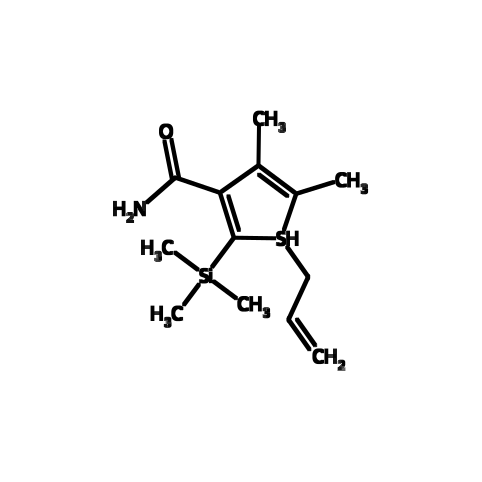 C=CC[SH]1C(C)=C(C)C(C(N)=O)=C1[Si](C)(C)C